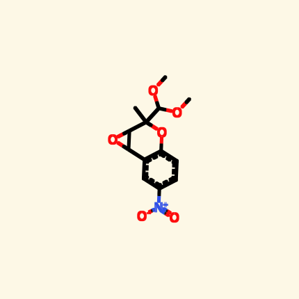 COC(OC)C1(C)Oc2ccc([N+](=O)[O-])cc2C2OC21